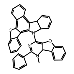 CN1C(c2ccccc2)=NC(N2c3c(c4ccccc4c4sc5ccccc5c34)C3C=CC=CC32)=C2Oc3ccccc3C21